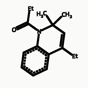 CCC(=O)N1c2ccccc2C(CC)=CC1(C)C